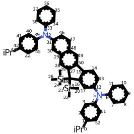 CC(C)c1ccc(N(c2ccccc2)c2ccc3c(c2)C([Si](C)(C)C)([Si](C)(C)C)c2cc4cc(N(c5ccccc5)c5ccc(C(C)C)cc5)ccc4cc2-3)cc1